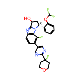 OC1C[C@H](c2ccccc2OC(F)F)n2c1nc1ccc(-c3cnc(C4(F)CCOCC4)nc3)c(F)c12